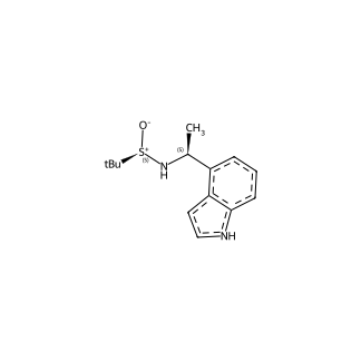 C[C@H](N[S@+]([O-])C(C)(C)C)c1cccc2[nH]ccc12